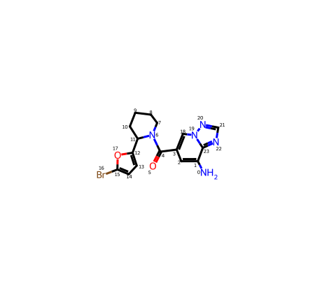 Nc1cc(C(=O)N2CCCCC2c2ccc(Br)o2)cn2ncnc12